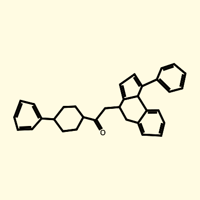 O=C(CC1Cc2ccccc2C2C(c3ccccc3)=CC=C12)C1CCC(c2ccccc2)CC1